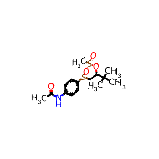 CC(=O)Nc1ccc(SCC(OS(C)(=O)=O)C(C)(C)C)cc1